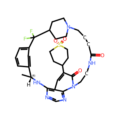 C[C@H]1Nc2ncnc3c2cc(C2CCS(=O)(=O)CC2)c(=O)n3CCNC(=O)CCCN2CCC(CC2)C(F)(F)c2cccc1c2